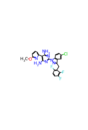 COc1cccc(-c2c(N)nc(-n3nc(Cc4c(F)ccc(F)c4F)c4cc(Cl)ccc43)nc2N)n1